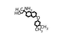 Cc1ccc(Oc2ccc3cc(C(C)(N)CO)ccc3c2)cc1C